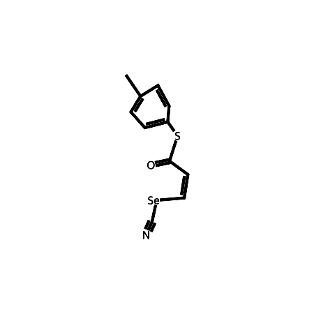 Cc1ccc(SC(=O)/C=C\[Se]C#N)cc1